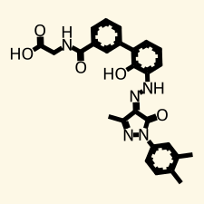 CC1=NN(c2ccc(C)c(C)c2)C(=O)/C1=N\Nc1cccc(-c2cccc(C(=O)NCC(=O)O)c2)c1O